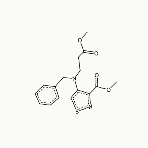 COC(=O)CCN(Cc1ccccc1)c1csnc1C(=O)OC